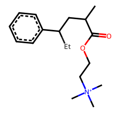 CCC(CC(C)C(=O)OCC[N+](C)(C)C)c1ccccc1